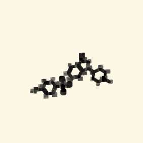 CN1CCC(c2c[nH]c3ccc(OS(=O)(=O)c4ccc(F)cc4)cc23)CC1